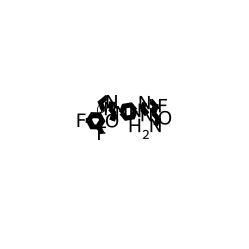 NC(=O)c1nc(N2CCN(C(=O)N3N=CC[C@H]3c3cc(F)cc(F)c3)CC2)ncc1F